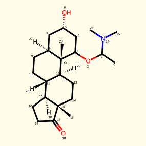 CC(OC1C[C@@H](O)C[C@@H]2CC[C@@H]3[C@H](CC[C@]4(C)C(=O)CC[C@@H]34)[C@@]12C)N(C)C